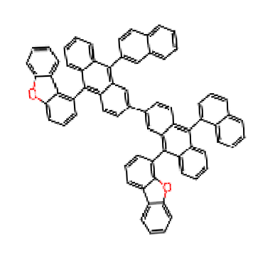 c1ccc2cc(-c3c4ccccc4c(-c4cccc5oc6ccccc6c45)c4ccc(-c5ccc6c(-c7cccc8ccccc78)c7ccccc7c(-c7cccc8c7oc7ccccc78)c6c5)cc34)ccc2c1